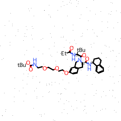 C[CH]C(=O)N[C@H](C(=O)N1Cc2cc(OCCOCCOCCNC(=O)OC(C)(C)C)ccc2C[C@H]1C(=O)N[C@@H]1CCCc2ccccc21)C(C)(C)C